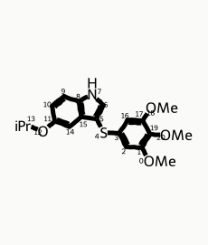 COc1cc(Sc2c[nH]c3ccc(OC(C)C)cc23)cc(OC)c1OC